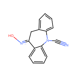 N#CN1c2ccccc2C/C(=N\O)c2ccccc21